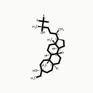 CC[C@]1(O)CC[C@@H]2CC[C@@H]3[C@H](CC[C@]4(C)[C@@H]([C@H](C)CC[C@](C)(O)C(F)(F)F)CC[C@@H]34)[C@@]2(C)CC1